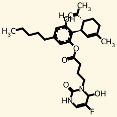 C=C(C)[C@@H]1CCC(C)=C[C@H]1c1c(O)cc(CCCCC)cc1OC(=O)CCCN1C(=O)NC=C(F)C1O